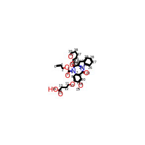 C=CCOC(=O)N1c2cc(OCCCC(=O)O)c(OC)cc2C(=O)N2c3ccccc3C[C@H]2C1OC1CCCCO1